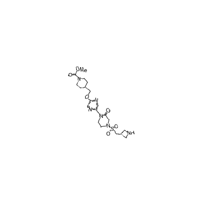 COC(=O)N1CCC(COc2cnc(N3CCN(S(=O)(=O)CC4CNC4)CC3=O)cn2)CC1